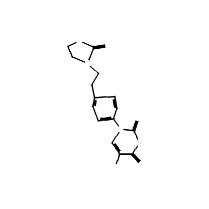 CCOC(=O)c1cn(-c2ccc(CCN3CCOC3=O)cc2)c(=O)[nH]c1=O